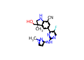 Cn1ccc(Nc2ncc(F)c(-c3cc(C#N)c4c(c3)[C@@](C)(CO)CN4)n2)n1